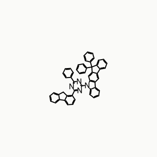 c1ccc(-c2nc(-c3cccc4c3Cc3ccccc3-4)nc(-n3c4ccccc4c4cc5c(cc43)C(c3ccccc3)(c3ccccc3)c3ccccc3-5)n2)cc1